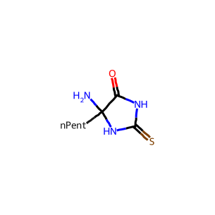 CCCCCC1(N)NC(=S)NC1=O